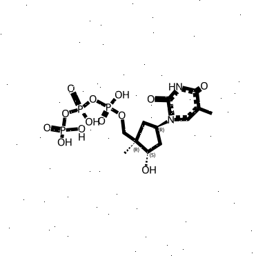 Cc1cn([C@H]2C[C@H](O)[C@@](C)(COP(=O)(O)OP(=O)(O)OP(=O)(O)O)C2)c(=O)[nH]c1=O